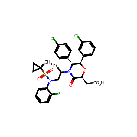 CCC(CN(c1ccccc1F)S(=O)(=O)C1(C)CC1)N1C(=O)[C@H](CC(=O)O)O[C@H](c2cccc(Cl)c2)[C@H]1c1ccc(Cl)cc1